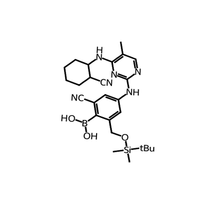 Cc1cnc(Nc2cc(C#N)c(B(O)O)c(CO[Si](C)(C)C(C)(C)C)c2)nc1NC1CCCCC1C#N